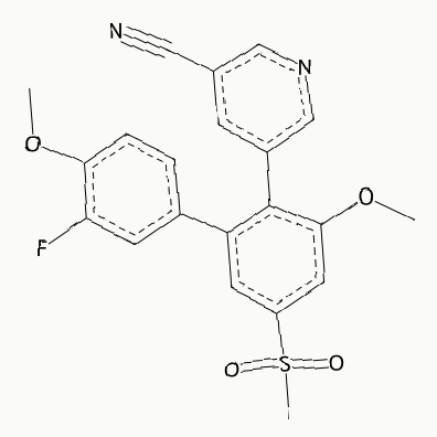 COc1ccc(-c2cc(S(C)(=O)=O)cc(OC)c2-c2cncc(C#N)c2)cc1F